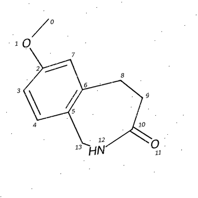 COc1ccc2c(c1)CCC(=O)NC2